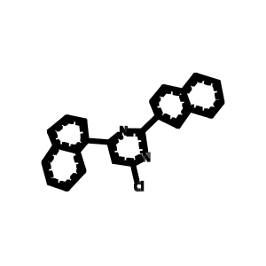 Clc1cc(-c2cccc3ccccc23)nc(-c2ccc3ccccc3c2)n1